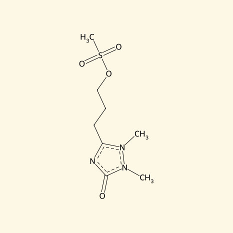 Cn1c(CCCOS(C)(=O)=O)nc(=O)n1C